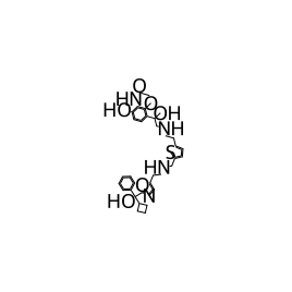 O=C1COc2c(C(O)CNCCc3ccc(CNCCc4cnc(C(O)(c5ccccc5)C5CCC5)o4)s3)ccc(O)c2N1